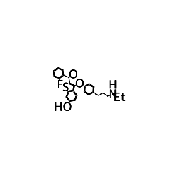 CCNCCCc1ccc(Oc2c(C(=O)c3ccccc3F)sc3cc(O)ccc23)cc1